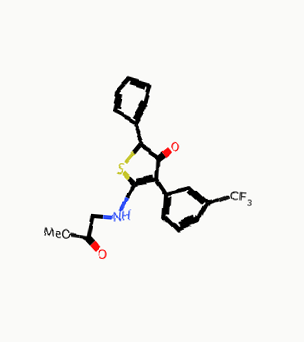 COC(=O)CNC1=C(c2cccc(C(F)(F)F)c2)C(=O)C(c2ccccc2)S1